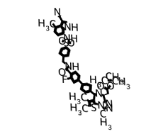 Cc1sc2c(c1C)C(c1ccc(-c3ccc(C(=O)NCc4ccc(S(=O)(=O)Nc5ccc(C)c6c(C#N)c[nH]c56)cc4)c(F)c3)cc1)=N[C@@H](CC(=O)OC(C)(C)C)c1nnc(C)n1-2